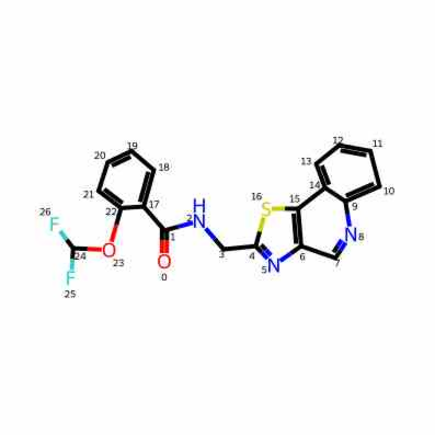 O=C(NCc1nc2cnc3ccccc3c2s1)c1ccccc1OC(F)F